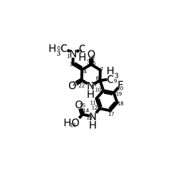 CN(C)/C=C1\C(=O)CC(C)(c2cc(NC(=O)O)ccc2F)NC1=O